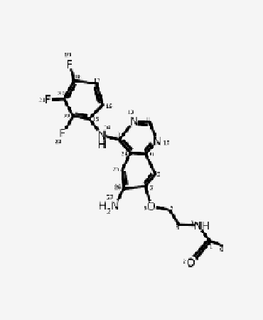 CC(=O)NCCOc1cc2ncnc(Nc3ccc(F)c(F)c3F)c2cc1N